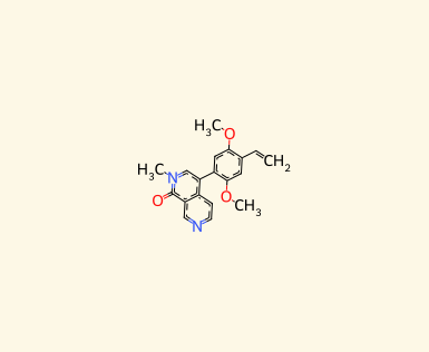 C=Cc1cc(OC)c(-c2cn(C)c(=O)c3cnccc23)cc1OC